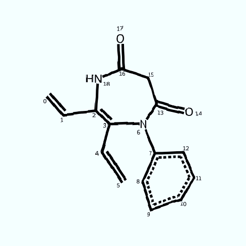 C=CC1=C(C=C)N(c2ccccc2)C(=O)CC(=O)N1